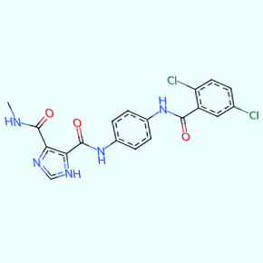 CNC(=O)c1nc[nH]c1C(=O)Nc1ccc(NC(=O)c2cc(Cl)ccc2Cl)cc1